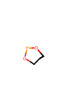 C1CO[P]O1